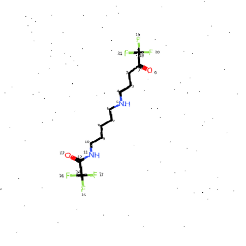 O=C(CCCNCCCCCNC(=O)C(F)(F)F)C(F)(F)F